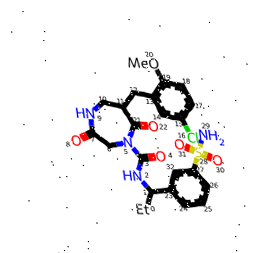 CCC(NC(=O)N1CC(=O)NCC(Cc2cc(Cl)ccc2OC)C1=O)c1cccc(S(N)(=O)=O)c1